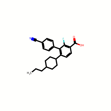 CCCC1CCC(c2ccc(C(=O)O)c(F)c2-c2ccc(C#N)cc2)CC1